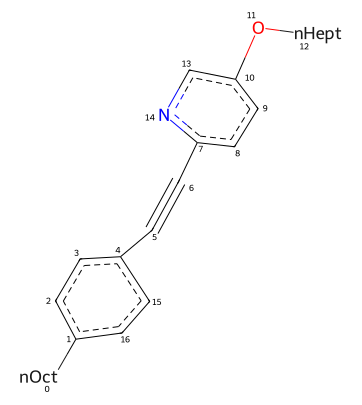 CCCCCCCCc1ccc(C#Cc2ccc(OCCCCCCC)cn2)cc1